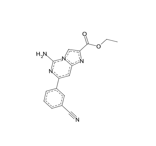 CCOC(=O)c1cn2c(N)nc(-c3cccc(C#N)c3)cc2n1